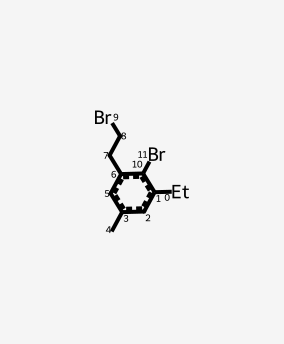 CCc1cc(C)cc(CCBr)c1Br